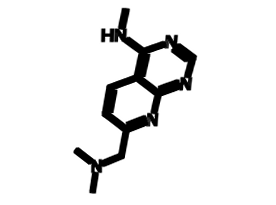 CNc1ncnc2nc(CN(C)C)ccc12